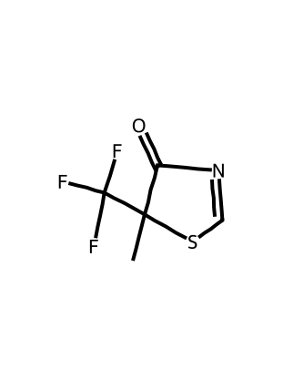 CC1(C(F)(F)F)SC=NC1=O